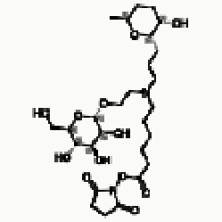 C[C@H]1CC[C@H](O)[C@H](CCCN(CCCCCC(=O)ON2C(=O)CCC2=O)CCO[C@H]2O[C@H](CO)[C@@H](O)[C@H](O)[C@@H]2O)O1